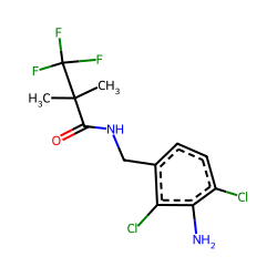 CC(C)(C(=O)NCc1ccc(Cl)c(N)c1Cl)C(F)(F)F